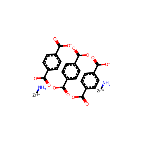 O=C([O-])c1ccc(C(=O)[O-])cc1.O=C([O-])c1ccc(C(=O)[O-])cc1.O=C([O-])c1ccc(C(=O)[O-])cc1.[NH2][Zr+3].[NH2][Zr+3]